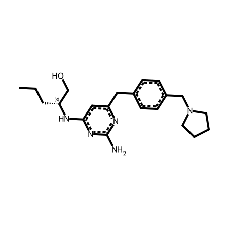 CCC[C@H](CO)Nc1cc(Cc2ccc(CN3CCCC3)cc2)nc(N)n1